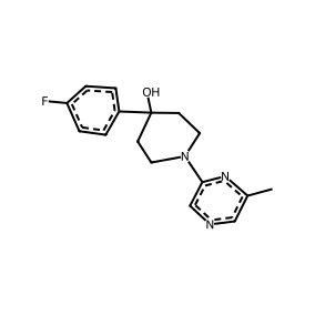 Cc1cncc(N2CCC(O)(c3ccc(F)cc3)CC2)n1